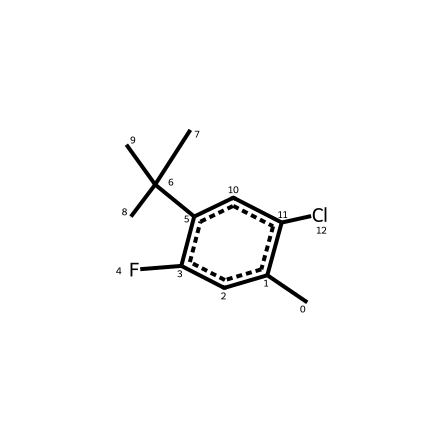 Cc1cc(F)c(C(C)(C)C)cc1Cl